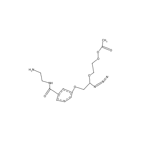 CC(=O)OOCCOC(COc1cccc(C(=O)NCCN)c1)N=[N+]=[N-]